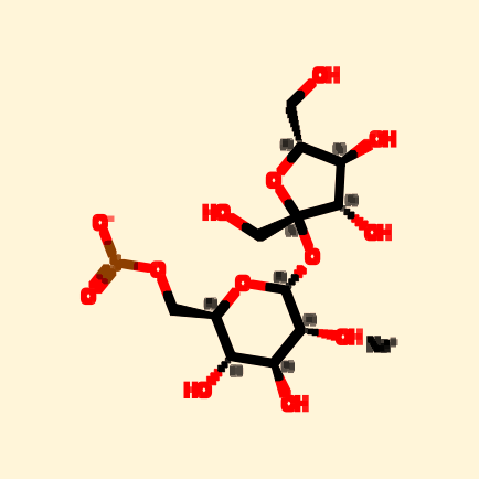 O=S([O-])OC[C@H]1O[C@H](O[C@]2(CO)O[C@H](CO)[C@@H](O)[C@@H]2O)[C@H](O)[C@@H](O)[C@@H]1O.[Na+]